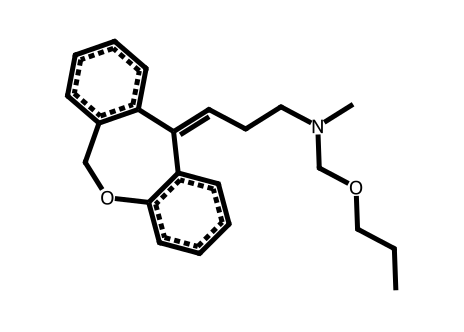 CCCOCN(C)CC/C=C1/c2ccccc2COc2ccccc21